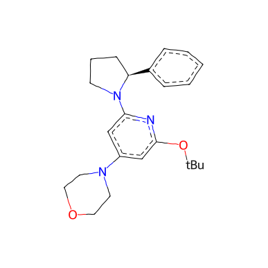 CC(C)(C)Oc1cc(N2CCOCC2)cc(N2CCC[C@H]2c2ccccc2)n1